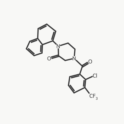 O=C(c1cccc(C(F)(F)F)c1Cl)N1CCN(c2cccc3ccccc23)C(=O)C1